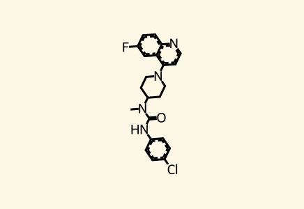 CN(C(=O)Nc1ccc(Cl)cc1)C1CCN(c2ccnc3ccc(F)cc23)CC1